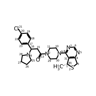 C[C@H]1SCc2ncnc(N3CCN(C(=O)CC(c4ccc(Cl)cc4)N4CCCC4)CC3)c21